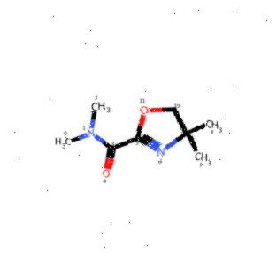 CN(C)C(=O)C1=NC(C)(C)CO1